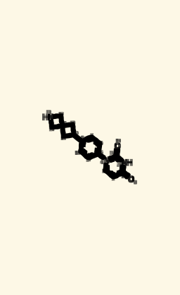 O=c1ccn(-c2ccc(C3CC4(CNC4)C3)cc2)c(=O)[nH]1